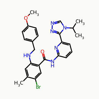 COc1ccc(CNc2cc(C)c(Br)cc2C(=O)Nc2cccc(-c3nncn3C(C)C)n2)cc1